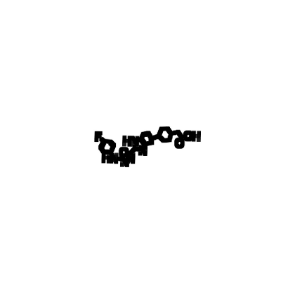 O=C(O)CC1CCC(c2ccc3[nH]c(-c4nnc(Nc5ccc(F)cc5)o4)nc3c2)CC1